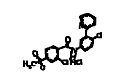 CS(=O)(=O)c1ccc(C(=O)Nc2ccc(Cl)c(-c3ccccn3)c2)c(Cl)c1.Cl